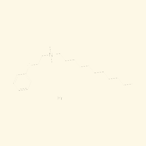 CCCCCCCCCCC[N+](C)(C)CCOc1ccccc1.[Br-]